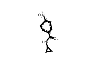 O=C(NC1CC1)c1ccc([N+](=O)[O-])cc1